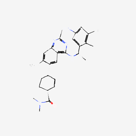 COc1cc2nc(C)nc(N[C@H](C)c3cc(N)cc(C(F)(F)F)c3C)c2cc1[C@H]1CC[C@H](C(=O)N(C)C)CC1